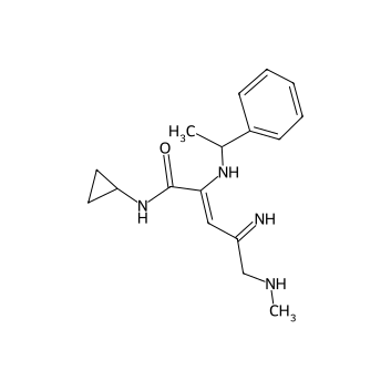 CNCC(=N)/C=C(\NC(C)c1ccccc1)C(=O)NC1CC1